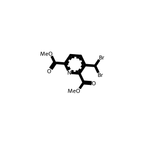 COC(=O)c1ccc(C(Br)Br)c(C(=O)OC)n1